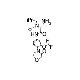 CC(C)CN(C1CC1)[C@H](CN)C(=O)Nc1ccc(N2CCOCC2=O)c(OC(F)F)c1